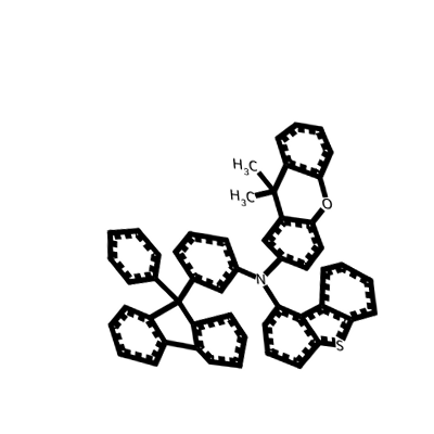 CC1(C)c2ccccc2Oc2ccc(N(c3cccc(C4(c5ccccc5)c5ccccc5-c5ccccc54)c3)c3cccc4sc5ccccc5c34)cc21